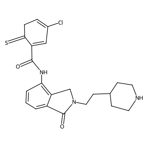 O=C(Nc1cccc2c1CN(CCC1CCNCC1)C2=O)C1=CC(Cl)=CCC1=S